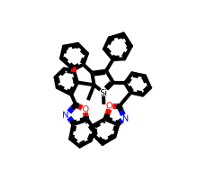 C[Si]1=C(c2ccccc2-c2nc3ccccc3o2)C(c2ccccc2)=C(c2ccccc2)C1(C)c1ccccc1-c1nc2ccccc2o1